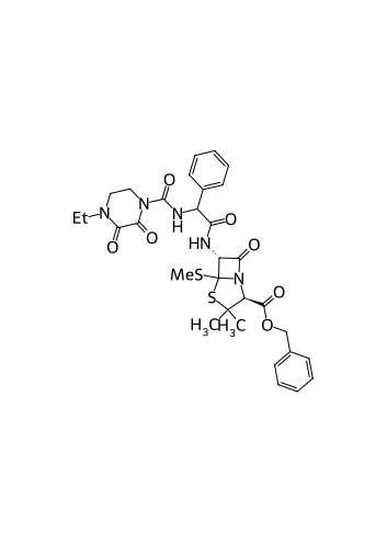 CCN1CCN(C(=O)NC(C(=O)N[C@@H]2C(=O)N3[C@@H](C(=O)OCc4ccccc4)C(C)(C)SC23SC)c2ccccc2)C(=O)C1=O